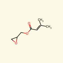 CC(C)=CC(=O)OCC1CO1